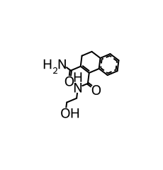 NC(=O)C1=C(C(=O)NCCO)c2ccccc2CC1